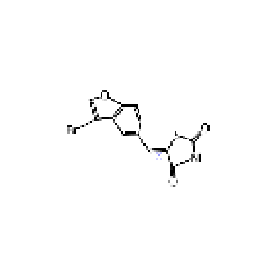 O=C1NC(=O)/C(=C/c2ccc3occ(Br)c3c2)S1